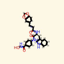 O=C(/C=C/c1ccc2c(c1)OCO2)N[C@@H](Cc1c[nH]c2ccccc12)C(=O)Nc1ccc(C(=O)NO)cc1